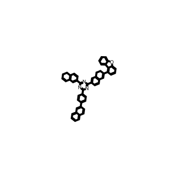 C1=Cc2cc(-c3nc(-c4ccc(-c5ccc6ccccc6c5)cc4)nc(-c4ccc5c(c4)CCC(c4cccc6oc7ccccc7c46)=C5)n3)ccc2CC1